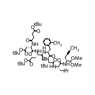 CC#CC[C@H](NC(=O)[C@H](CC(C)C)NC(=O)[C@@H](NC(=O)[C@H](Cc1ccccc1C)NC(=O)[C@H](CCC(=O)OC(C)(C)C)NC(=O)[C@H](CC(=O)OC(C)(C)C)NC(=O)CCC(=O)OC(C)(C)C)C(C)(C)C)C(OC)OC